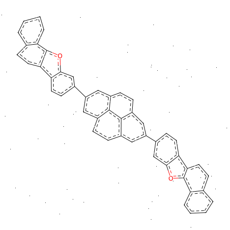 c1ccc2c(c1)ccc1c3ccc(-c4cc5ccc6cc(-c7ccc8c(c7)oc7c9ccccc9ccc87)cc7ccc(c4)c5c67)cc3oc21